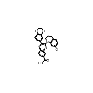 O=C(O)c1ccc2nc(-c3ccc4c(c3)OCCO4)c(N3CCCc4ccc(Cl)cc43)nc2c1